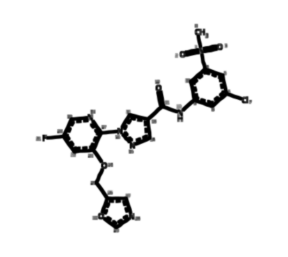 CS(=O)(=O)c1cc(Cl)cc(NC(=O)c2cnn(-c3ncc(F)cc3OCc3cnco3)c2)c1